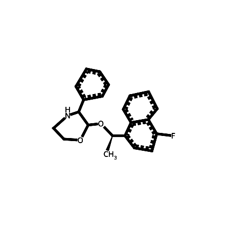 C[C@@H](OC1OCCNC1c1ccccc1)c1ccc(F)c2ccccc12